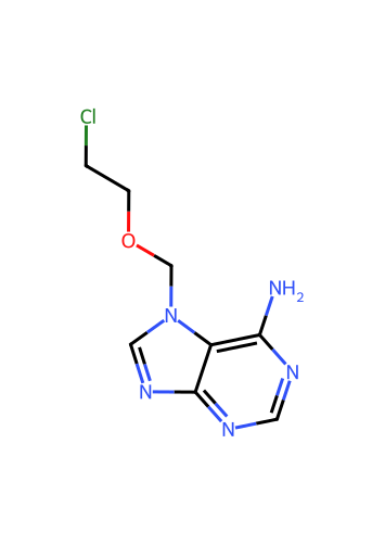 Nc1ncnc2ncn(COCCCl)c12